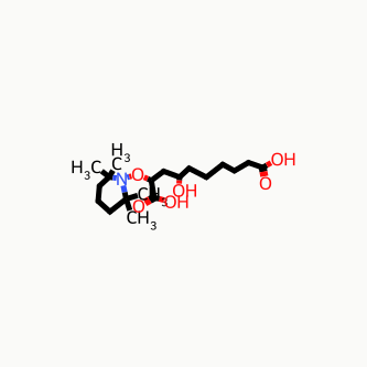 CC1(C)CCCC(C)(C)N1OC(CC(O)CCCCCC(=O)O)C(=O)O